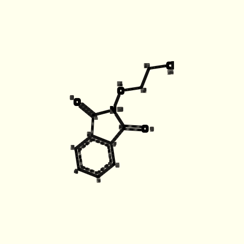 O=C1c2ccccc2C(=O)N1OCCCl